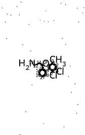 Cc1cc(Cl)c(Cl)cc1OC(CCN)c1ccccc1